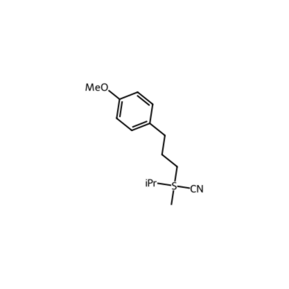 COc1ccc(CCCS(C)(C#N)C(C)C)cc1